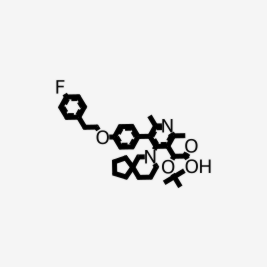 Cc1nc(C)c(C(OC(C)(C)C)C(=O)O)c(N2CCCC3(CCCC3)C2)c1-c1ccc(OCCc2ccc(F)cc2)cc1